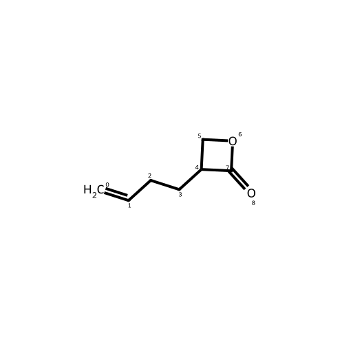 C=CCCC1COC1=O